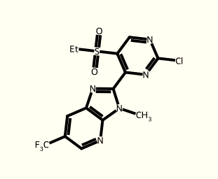 CCS(=O)(=O)c1cnc(Cl)nc1-c1nc2cc(C(F)(F)F)cnc2n1C